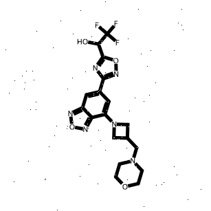 OC(c1nc(-c2cc(N3CC(CN4CCOCC4)C3)c3nonc3c2)no1)C(F)(F)F